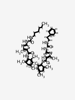 CCCCCCNC(=O)Nc1nc(C)c(C(=O)Nc2c(C)cc(C)cc2C)s1.Cc1cc(C)c(NC(=O)c2sc(NC(=O)NCCc3ccccc3)nc2C)c(C)c1